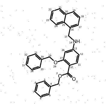 O=C(OCc1ccccc1)c1ccc(NCc2cccc3ccccc23)cc1OCc1ccccc1